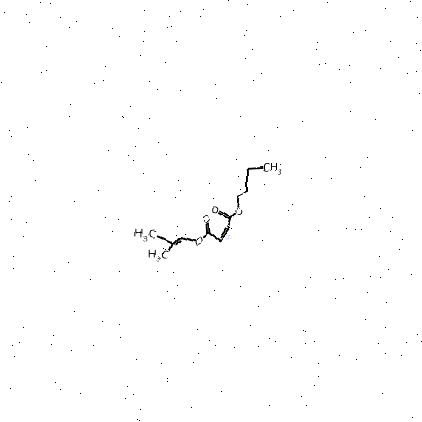 CCCCOC(=O)/C=C\C(=O)OC=C(C)C